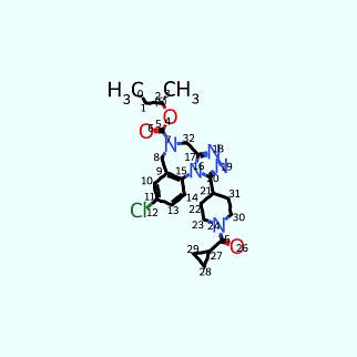 CC[C@H](C)OC(=O)N1Cc2cc(Cl)ccc2-n2c(nnc2C2CCN(C(=O)C3CC3)CC2)C1